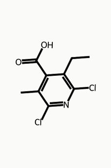 CCc1c(Cl)nc(Cl)c(C)c1C(=O)O